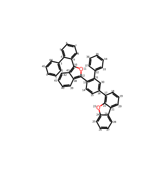 c1ccc(-c2ccccc2-c2oc(-c3ccc(-c4cccc5c4oc4ccccc45)cc3-c3ccccc3)c3ccccc23)cc1